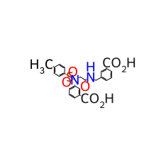 Cc1ccc(S(=O)(=O)N(CC(=O)NCc2cccc(C(=O)O)c2)c2cccc(C(=O)O)c2)cc1